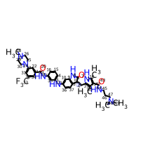 Cc1[nH]c(/C=C2\C(=O)Nc3cc(Nc4cccc(NC(=O)c5cc(N6CCN(C)CC6)cc(C(F)(F)F)c5)c4)ccc32)c(C)c1C(=O)NCCCN(C)C